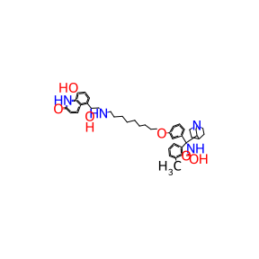 Cc1cccc(C(NC(=O)O)(c2cccc(OCCCCCCCCCNCC(O)c3ccc(O)c4[nH]c(=O)ccc34)c2)C2CN3CCC2CC3)c1